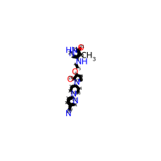 Cc1c(NCCO[C@H]2CCN(C3CCN(c4ccc(C#N)cn4)CC3)C2=O)cn[nH]c1=O